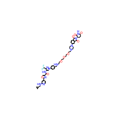 O=C1CCC(N2C(=O)c3ccc(N4CCN(CCOCCOCCOCCNCc5ccc(-n6cc(NC(=O)c7coc(-c8ccnc(NCC9CC9)c8)n7)c(C(F)F)n6)cc5)CC4)cc3C2=O)C(=O)N1